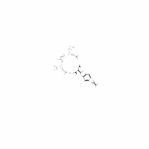 [C-]#[N+]C(C(=O)OCC)=C1Sc2c(OC)c3c(c(OC)c2S1)SC(=C1C(=O)OCC(C)C[Si](C)(O[Si](C)(C)C)O[Si](C)(C)[Si](C)(C)O[Si](C)(O[Si](C)(C)C)CC(C)COC1=O)S3